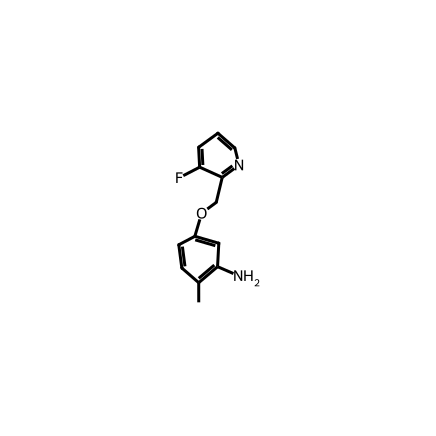 Cc1ccc(OCc2ncccc2F)cc1N